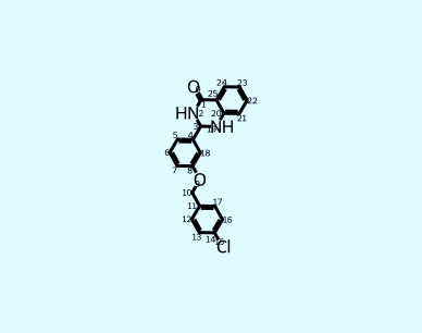 O=C1NC(c2cccc(OCc3ccc(Cl)cc3)c2)Nc2ccccc21